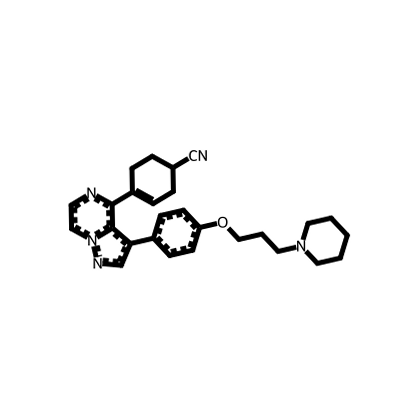 N#CC1CC=C(c2nccn3ncc(-c4ccc(OCCCN5CCCCC5)cc4)c23)CC1